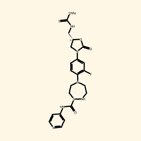 COC(=S)NC[C@H]1CN(c2ccc(N3CCNN(C(=O)Nc4ccncc4)CC3)c(F)c2)C(=O)O1